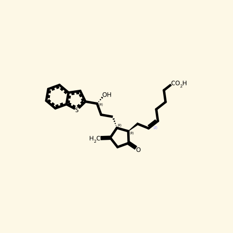 C=C1CC(=O)[C@H](C/C=C\CCCC(=O)O)[C@H]1CC[C@@H](O)c1cc2ccccc2s1